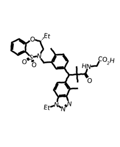 CC[C@@H]1CN(Cc2cc(C(c3ccc4c(nnn4CC)c3C)C(C)(C)C(=O)NCC(=O)O)ccc2C)S(=O)(=O)c2ccccc2O1